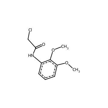 COc1cccc(NC(=O)CCl)c1OC